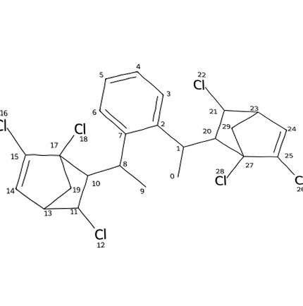 CC(c1ccccc1C(C)C1C(Cl)C2C=C(Cl)C1(Cl)C2)C1C(Cl)C2C=C(Cl)C1(Cl)C2